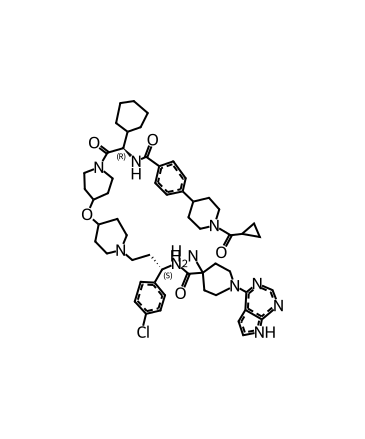 NC1(C(=O)N[C@@H](CCN2CCC(OC3CCN(C(=O)[C@H](NC(=O)c4ccc(C5CCN(C(=O)C6CC6)CC5)cc4)C4CCCCC4)CC3)CC2)c2ccc(Cl)cc2)CCN(c2ncnc3[nH]ccc23)CC1